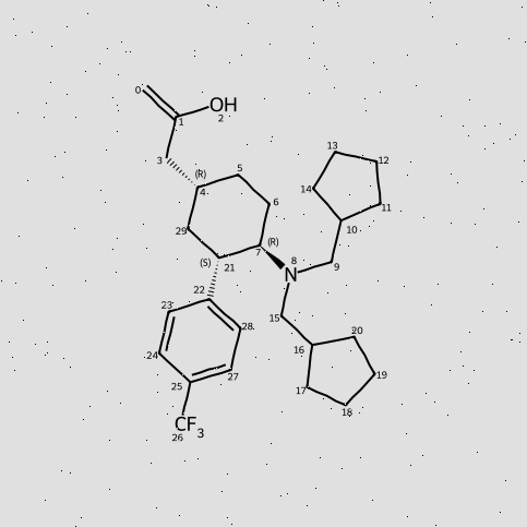 C=C(O)C[C@@H]1CC[C@@H](N(CC2CCCC2)CC2CCCC2)[C@H](c2ccc(C(F)(F)F)cc2)C1